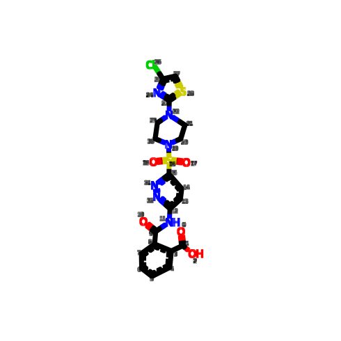 O=C(O)c1ccccc1C(=O)Nc1ccc(S(=O)(=O)N2CCN(c3nc(Cl)cs3)CC2)nn1